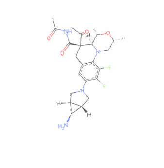 CC(=O)NC(=O)[C@]1(C(C)=O)Cc2cc(N3C[C@@H]4[C@@H](N)[C@@H]4C3)c(F)c(F)c2N2C[C@@H](C)O[C@@H](C)[C@@H]21